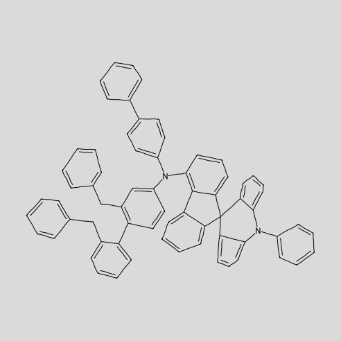 c1ccc(Cc2ccccc2-c2ccc(N(c3ccc(-c4ccccc4)cc3)c3cccc4c3-c3ccccc3C43c4ccccc4N(c4ccccc4)c4ccccc43)cc2Cc2ccccc2)cc1